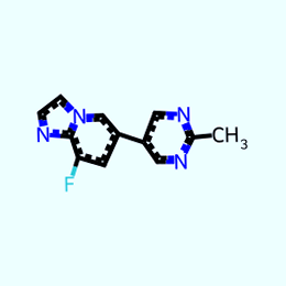 Cc1ncc(-c2cc(F)c3nccn3c2)cn1